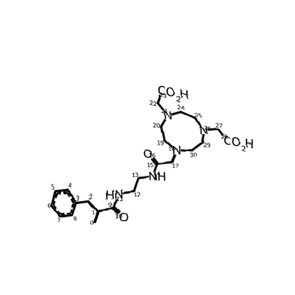 CC(Cc1ccccc1)C(=O)NCCNC(=O)CN1CCN(CC(=O)O)CCN(CC(=O)O)CC1